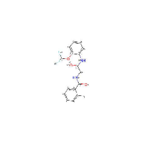 Cc1ccccc1C(=O)NCC(=O)Nc1ccccc1OC(F)F